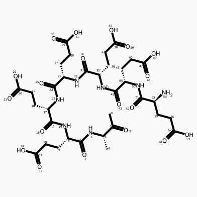 CC(=O)[C@H](C)NC(=O)[C@H](CCC(=O)O)NC(=O)[C@H](CCC(=O)O)NC(=O)[C@H](CCC(=O)O)NC(=O)[C@H](CCC(=O)O)NC(=O)[C@H](CCC(=O)O)NC(=O)[C@@H](N)CCC(=O)O